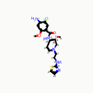 COc1cc(N)c(Cl)cc1C(=O)N[C@H]1CCN(CCNc2nccs2)C[C@H]1OC